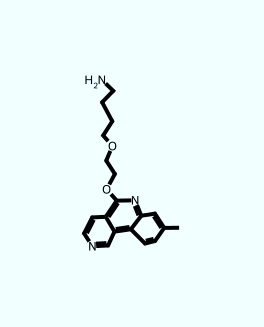 Cc1ccc2c(c1)nc(OCCOCCCCN)c1ccncc12